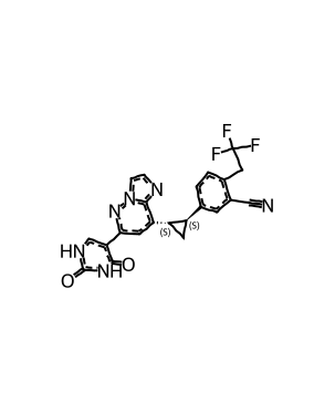 N#Cc1cc([C@H]2C[C@@H]2c2cc(-c3c[nH]c(=O)[nH]c3=O)nn3ccnc23)ccc1CC(F)(F)F